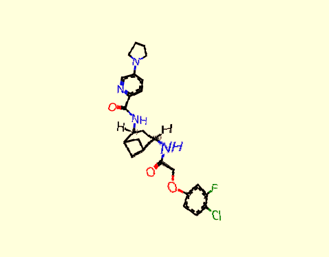 O=C(COc1ccc(Cl)c(F)c1)N[C@H]1C[C@@H](NC(=O)c2ccc(N3CCCC3)cn2)C2CC1C2